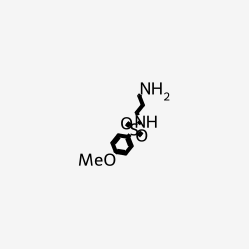 COc1ccc(S(=O)(=O)NCCCN)cc1